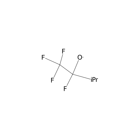 CC(C)C([O])(F)C(F)(F)F